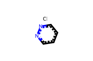 [C].c1ccnnc1